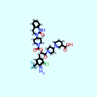 Nc1c(Cl)cc(C[C@@H](OC(=O)N2CCC(N3CCc4ccccc4NC3=O)CC2)C(=O)N2CCC(N3CCCC(C(=O)O)C3)CC2)cc1C(F)(F)F